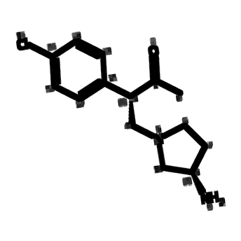 CC(=O)[C@H](CN1CC[C@@H](N)C1)c1ccc(Cl)cc1